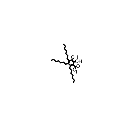 CCCCCCCc1c(O)c(O)c(C(=O)OI)c(CCCCCCC)c1CCCCCCC